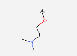 CC(=O)OCCN(C)C